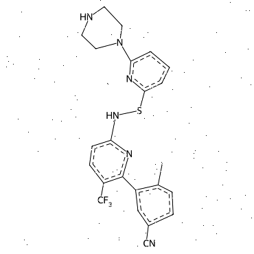 Cc1ccc(C#N)cc1-c1nc(NSc2cccc(N3CCNCC3)n2)ccc1C(F)(F)F